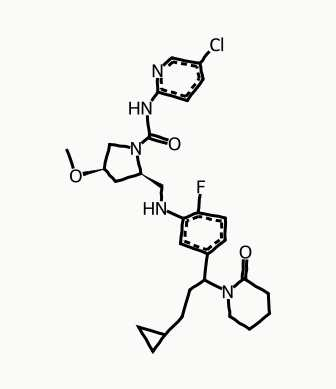 CO[C@@H]1C[C@H](CNc2cc(C(CCC3CC3)N3CCCCC3=O)ccc2F)N(C(=O)Nc2ccc(Cl)cn2)C1